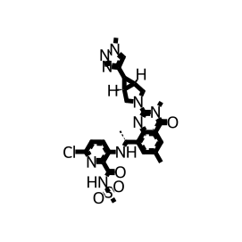 Cc1cc([C@@H](C)Nc2ccc(Cl)nc2C(=O)NS(C)(=O)=O)c2nc(N3C[C@@H]4C(c5cn(C)nn5)[C@@H]4C3)n(C)c(=O)c2c1